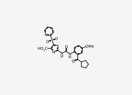 COc1ccc(NC(=O)Nc2nc(C(=O)O)c(S(=O)(=O)c3ccccn3)s2)c(C(=O)C2CCCC2)c1